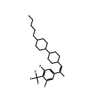 CCCCCC1CCC(C2CCC(C=C(C)c3cc(F)c(C(F)(F)F)c(F)c3)CC2)CC1